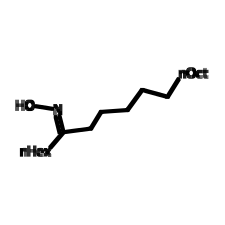 CCCCCCCCCCCCCC(CCCCCC)=NO